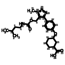 CC(C)CCNC(=O)OCc1c(-c2ccc(OC3CCCC(C(=O)O)C3)cc2)nnn1C